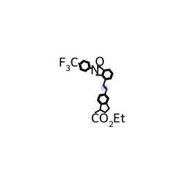 CCOC(=O)CC1CCc2cc(/C=C/c3cccc4c3CN(c3ccc(C(F)(F)F)cc3)C4=O)ccc21